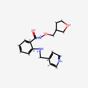 O=C(NOCC1CCOC1)c1ccccc1NCc1ccncc1